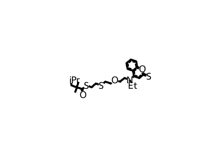 CCN(CCOCCSCCSC(=O)C(C)(C)CC(C)C)c1cc(=S)oc2ccccc12